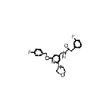 O=C(Cc1cccc(F)c1)NCc1cc(OCc2ccc(F)cc2)nc(N2CCOCC2)c1